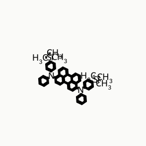 C[Si](C)(C)c1ccc(N(c2ccccc2)c2ccc3c4ccc(N(c5ccccc5)c5ccc([Si](C)(C)C)cc5)c5cccc(c6cccc2c63)c54)cc1